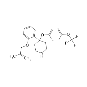 C=C(C)COc1ccccc1C1(Oc2ccc(OC(F)(F)F)cc2)CCNCC1